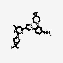 Cc1cc(-c2cnn(-c3ccc(N)cc3N3CCC4(CC3)CC4)c2)nc(N2CC3C(C2)C3(F)F)n1